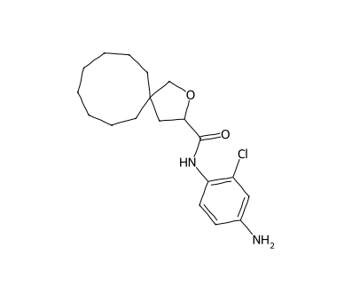 Nc1ccc(NC(=O)C2CC3(CCCCCCCC3)CO2)c(Cl)c1